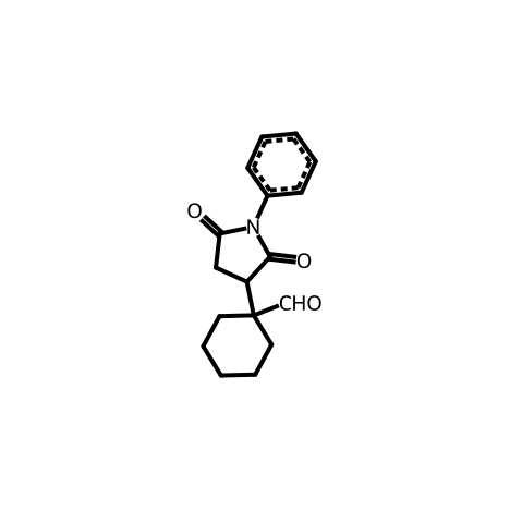 O=CC1(C2CC(=O)N(c3ccccc3)C2=O)CCCCC1